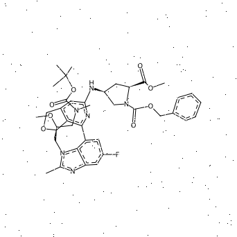 COC(=O)[C@@H]1C[C@H](Nc2cc3c(c(-c4cc(F)cc5nc(C)n(C[C@H](CN(C)C(=O)OC(C)(C)C)OC)c45)n2)COC3)CN1C(=O)OCc1ccccc1